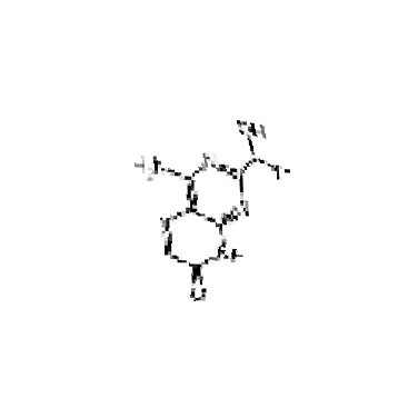 CCC(O)c1nc(N)c2ncc(=O)[nH]c2n1